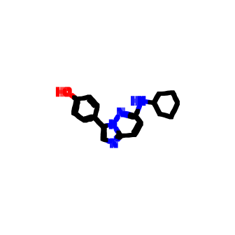 Oc1ccc(-c2cnc3ccc(NC4CCCCC4)nn23)cc1